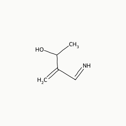 C=C(C=N)C(C)O